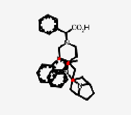 Cc1nc2ccccc2n1C1CC2CCC(C1)N2CCC1(c2ccccc2)CCN(C(C(=O)O)c2ccccc2)CC1